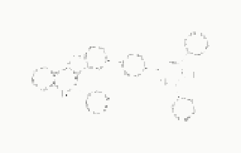 c1ccc(C2=NC(c3ccc(-c4ccc5oc6c7ccccc7nc(-c7ccccc7)c6c5c4)cc3)NC(c3ccccc3)N2)cc1